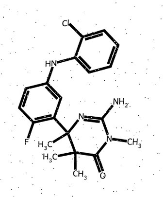 CN1C(=O)C(C)(C)C(C)(c2cc(Nc3ccccc3Cl)ccc2F)N=C1N